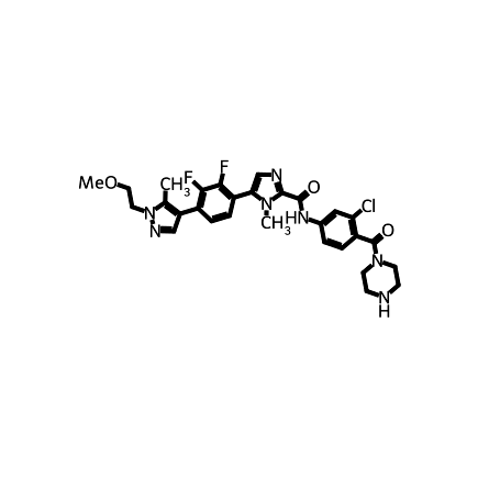 COCCn1ncc(-c2ccc(-c3cnc(C(=O)Nc4ccc(C(=O)N5CCNCC5)c(Cl)c4)n3C)c(F)c2F)c1C